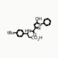 CC(C)(C)c1ccc(C(CC(=O)O)NC(=O)c2cc(O)n(-c3ccccc3)n2)cc1